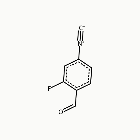 [C-]#[N+]c1ccc(C=O)c(F)c1